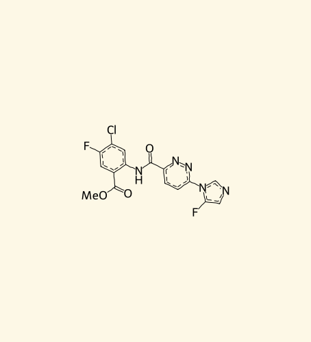 COC(=O)c1cc(F)c(Cl)cc1NC(=O)c1ccc(-n2cncc2F)nn1